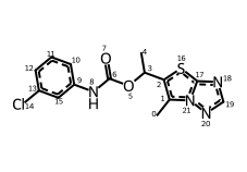 Cc1c(C(C)OC(=O)Nc2cccc(Cl)c2)sc2ncnn12